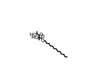 CCCCCCCCCCCCCOC(=O)C(C)(O)C(=O)C(C)O